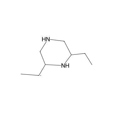 C[CH]C1CNCC(CC)N1